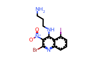 NCCCNc1c([N+](=O)[O-])c(Br)nc2cccc(I)c12